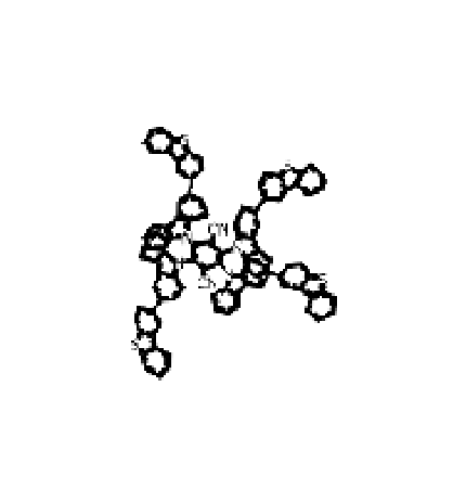 N#Cc1c(-n2c3ccccc3c3cc(-c4ccc5sc6ccccc6c5c4)ccc32)c(-n2c3ccccc3c3cc(-c4ccc5sc6ccccc6c5c4)ccc32)c(C#N)c(-n2c3ccccc3c3cc(-c4ccc5sc6ccccc6c5c4)ccc32)c1-n1c2ccccc2c2cc(-c3ccc4sc5ccccc5c4c3)ccc21